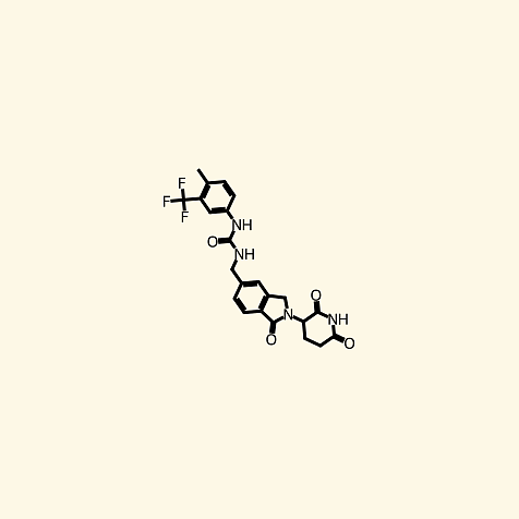 Cc1ccc(NC(=O)NCc2ccc3c(c2)CN(C2CCC(=O)NC2=O)C3=O)cc1C(F)(F)F